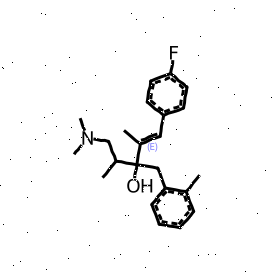 C/C(=C\c1ccc(F)cc1)C(O)(Cc1ccccc1C)C(C)CN(C)C